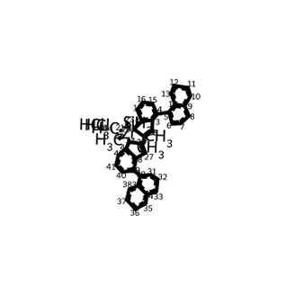 CC1=Cc2c(-c3cccc4ccccc34)cccc2[CH]1[Zr]([CH3])([CH3])([SiH3])[CH]1C(C)=Cc2c(-c3cccc4ccccc34)cccc21.Cl.Cl